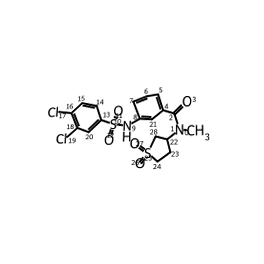 CN(C(=O)c1cccc(NS(=O)(=O)c2ccc(Cl)c(Cl)c2)c1)C1CCS(=O)(=O)C1